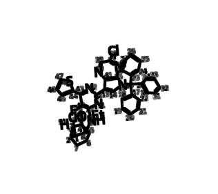 CCOC(=O)[C@@H]1C2CCC(CC2)[C@H]1Nc1nc(-c2cn(C(c3ccccc3)(c3ccccc3)c3ccccc3)c3nc(Cl)cnc23)nc(-c2cccs2)c1F